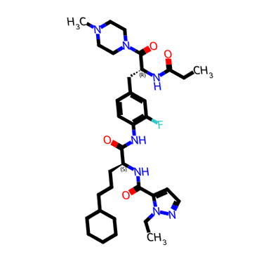 CCC(=O)N[C@H](Cc1ccc(NC(=O)[C@H](CCCC2CCCCC2)NC(=O)c2ccnn2CC)c(F)c1)C(=O)N1CCN(C)CC1